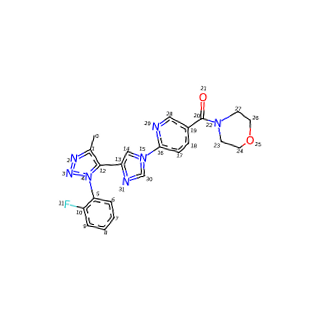 Cc1nnn(-c2ccccc2F)c1-c1cn(-c2ccc(C(=O)N3CCOCC3)cn2)cn1